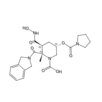 C[C@@]1(C(=O)N2Cc3ccccc3C2)[C@@H](C(=O)NO)C[C@H](OC(=O)N2CCCC2)CN1C(=O)O